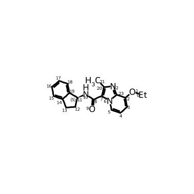 CCOc1cccn2c(C(=O)N[C@H]3CCc4ccccc43)c(C)nc12